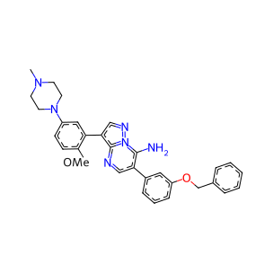 COc1ccc(N2CCN(C)CC2)cc1-c1cnn2c(N)c(-c3cccc(OCc4ccccc4)c3)cnc12